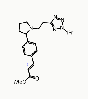 COC(=O)/C=C/c1ccc(C2CCCN2CCc2nnn(C(C)C)n2)cc1